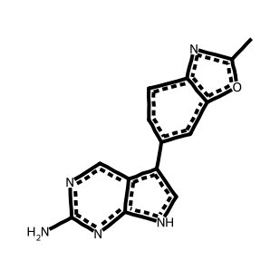 Cc1nc2ccc(-c3c[nH]c4nc(N)ncc34)cc2o1